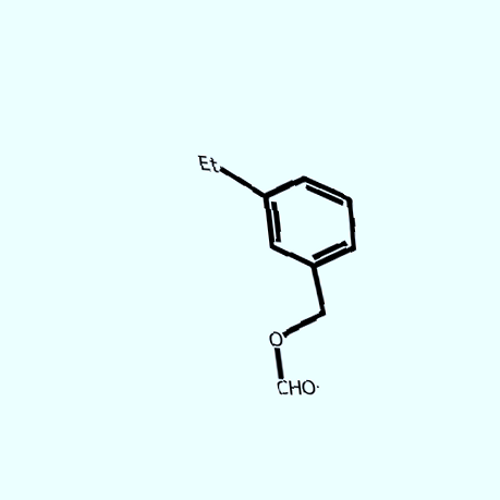 CCc1cccc(CO[C]=O)c1